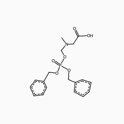 CN(COP(=O)(OCc1ccccc1)OCc1ccccc1)CC(=O)O